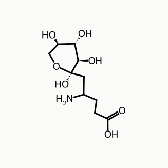 NC(CCC(=O)O)C[C@@]1(O)OC[C@@H](O)[C@H](O)[C@H]1O